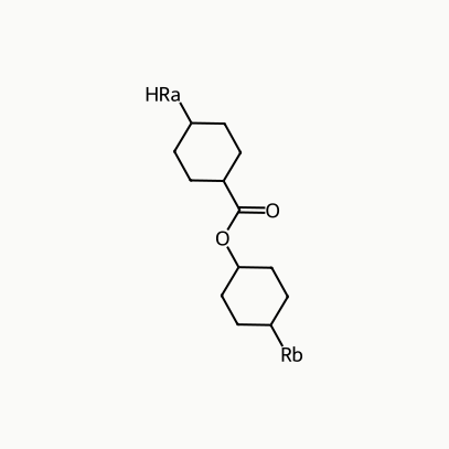 O=C(OC1CC[CH]([Rb])CC1)C1CC[CH]([RaH])CC1